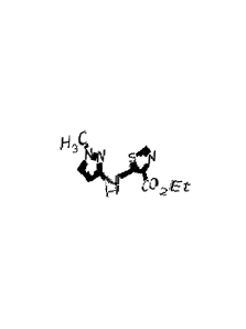 CCOC(=O)c1ncsc1Nc1ccn(C)n1